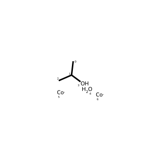 CC(C)O.O.[Co].[Co]